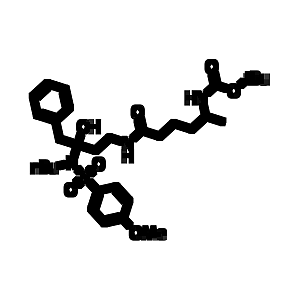 CCCCN(C(O)(CCNC(=O)CCCC(C)NC(=O)OC(C)(C)C)Cc1ccccc1)S(=O)(=O)c1ccc(OC)cc1